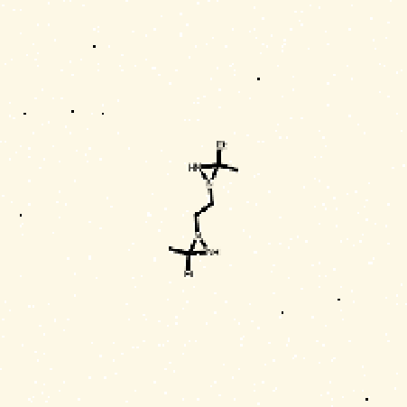 CCC1(C)NN1CCN1NC1(C)CC